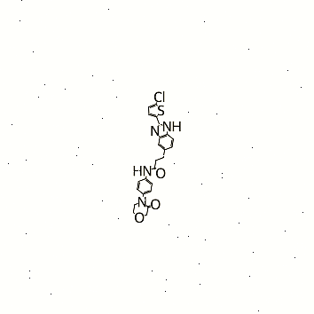 O=C(CCc1ccc2[nH]c(-c3ccc(Cl)s3)nc2c1)Nc1ccc(N2CCOCC2=O)cc1